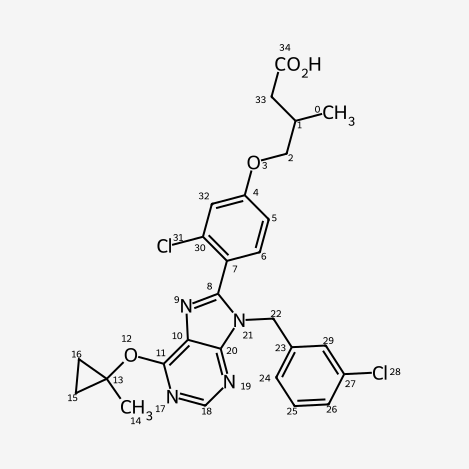 CC(COc1ccc(-c2nc3c(OC4(C)CC4)ncnc3n2Cc2cccc(Cl)c2)c(Cl)c1)CC(=O)O